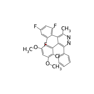 COc1cc(OC)c(Cl)c(-c2c(-c3ccccc3)nnc(C)c2-c2c(F)cc(F)cc2F)c1